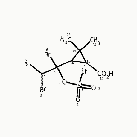 CCS(=O)(=O)OC(Br)(C(Br)Br)C1C(C(=O)O)C1(C)C